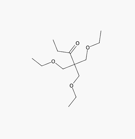 CCOCC(COCC)(COCC)C(=O)CC